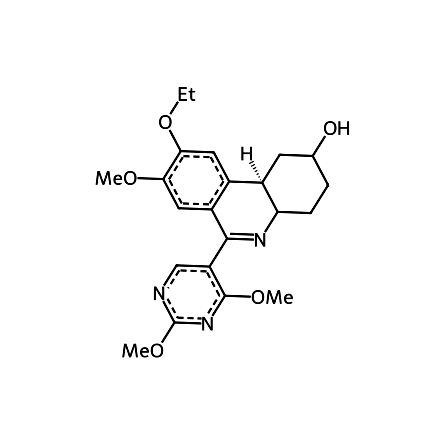 CCOc1cc2c(cc1OC)C(c1cnc(OC)nc1OC)=NC1CCC(O)C[C@H]21